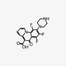 O=C(O)c1c(=O)c2c(F)c(F)c(N3CCNCC3)c(F)c2n2ccccc12